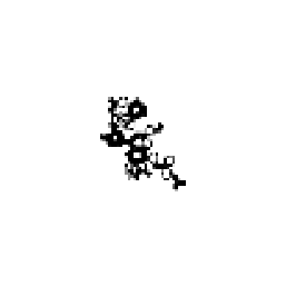 CCOC(=O)CC(c1ccc(C)c(CN2CC(C)Oc3ccccc3S2(=O)=O)c1)c1cc(OCC(=O)OCC(C)C)c2c(c1)nnn2C